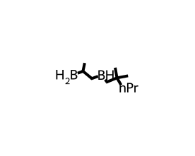 BC(C)CBCC(C)(C)CCC